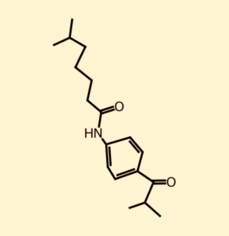 CC(C)CCCCC(=O)Nc1ccc(C(=O)C(C)C)cc1